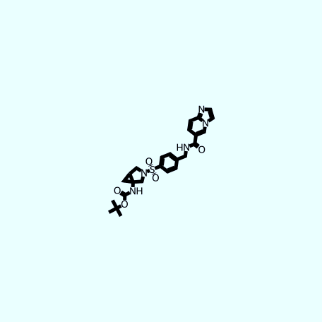 CC(C)(C)OC(=O)NC12CC1CN(S(=O)(=O)c1ccc(CNC(=O)c3ccc4nccn4c3)cc1)C2